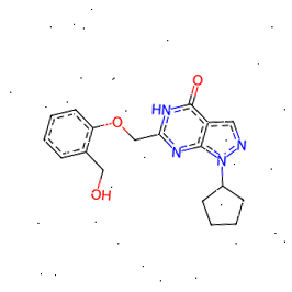 O=c1[nH]c(COc2ccccc2CO)nc2c1cnn2C1CCCC1